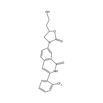 O=C1OC(CCO)CN1c1ccc2cc(-c3ccccc3C(F)(F)F)[nH]c(=O)c2c1